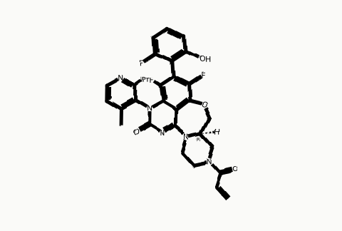 C=CC(=O)N1CCN2c3nc(=O)n(-c4c(C)ccnc4C(C)C)c4c(F)c(-c5c(O)cccc5F)c(F)c(c34)OC[C@H]2C1